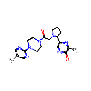 O=C(CN1CCCC1c1c[nH]c(=O)c(C(F)(F)F)n1)N1CCN(c2ncc(C(F)(F)F)cn2)CC1